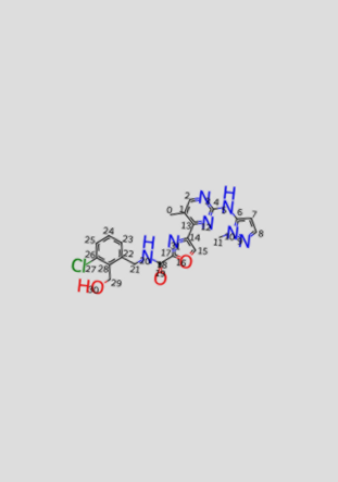 Cc1cnc(Nc2ccnn2C)nc1-c1coc(C(=O)NCc2cccc(Cl)c2CO)n1